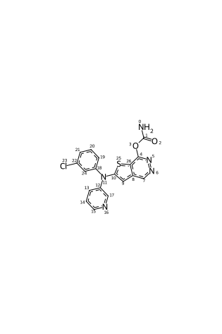 NC(=O)Oc1nncc2cc(N(c3cccnc3)c3cccc(Cl)c3)sc12